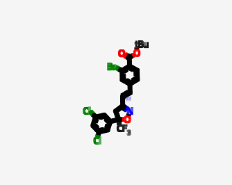 CC(C)(C)OC(=O)c1ccc(/C=C/C2=NOC(c3cc(Cl)cc(Cl)c3)(C(F)(F)F)C2)cc1Br